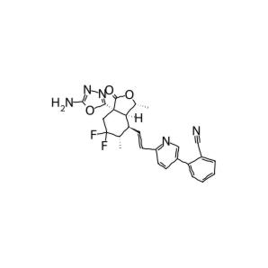 C[C@H]1OC(=O)[C@]2(c3nnc(N)o3)CC(F)(F)[C@@H](C)[C@H](C=Cc3ccc(-c4ccccc4C#N)cn3)[C@H]12